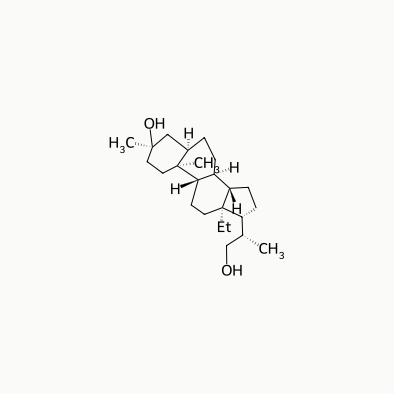 CC[C@]12CC[C@H]3[C@@H](CC[C@@H]4C[C@](C)(O)CC[C@@]43C)[C@@H]1CC[C@@H]2[C@H](C)CO